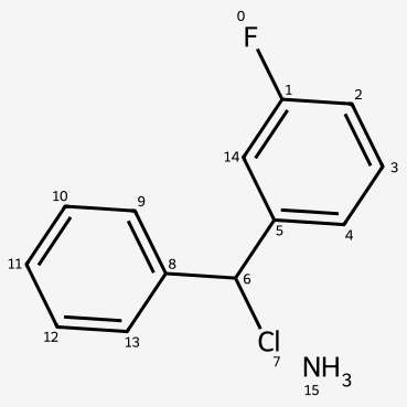 Fc1cccc(C(Cl)c2ccccc2)c1.N